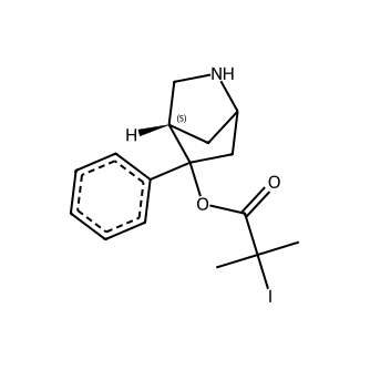 CC(C)(I)C(=O)OC1(c2ccccc2)CC2C[C@H]1CN2